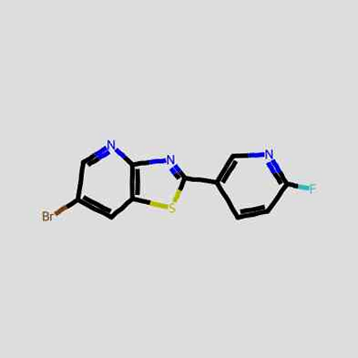 Fc1ccc(-c2nc3ncc(Br)cc3s2)cn1